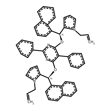 C=CCn1cccc1[C@@H](Oc1nc(-c2ccccc2)nc(O[C@@H](c2cccc3ccccc23)c2cccn2CC=C)c1-c1ccccc1)c1cccc2ccccc12